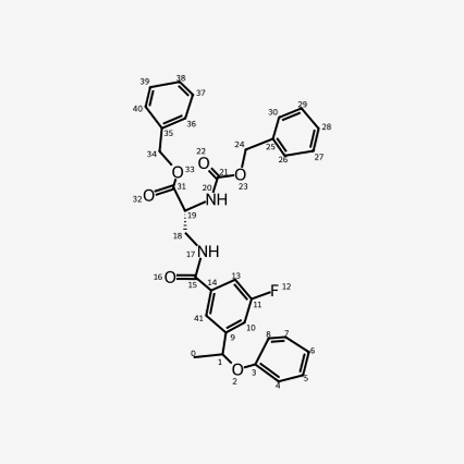 CC(Oc1ccccc1)c1cc(F)cc(C(=O)NC[C@@H](NC(=O)OCc2ccccc2)C(=O)OCc2ccccc2)c1